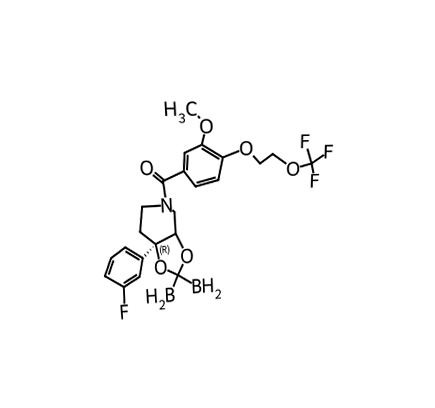 BC1(B)OC2CN(C(=O)c3ccc(OCCOC(F)(F)F)c(OC)c3)CC[C@]2(c2cccc(F)c2)O1